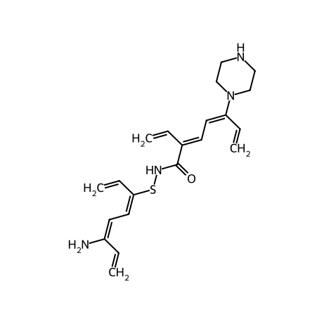 C=C/C(N)=C\C=C(/C=C)SNC(=O)/C(C=C)=C/C=C(\C=C)N1CCNCC1